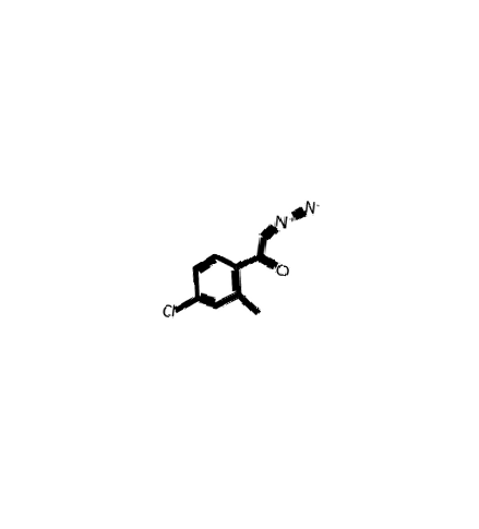 Cc1cc(Cl)ccc1C(=O)C=[N+]=[N-]